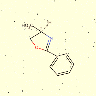 [2H][C@@]1(C(=O)O)COC(c2ccccc2)=N1